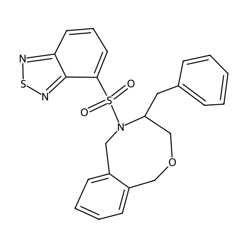 O=S(=O)(c1cccc2nsnc12)N1Cc2ccccc2COCC1Cc1ccccc1